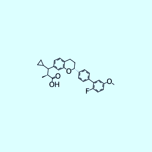 COc1ccc(F)c(-c2ccc([C@H]3CCc4ccc(C(C5CC5)[C@H](C)C(=O)O)cc4O3)cc2)c1